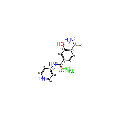 C[C@@H](N)c1ccc(C(=O)Nc2ccncc2)cc1O.Cl.Cl